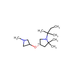 CCC(C)(C)N1C[C@@H](OC2CN(C)C2)CC1(C)C